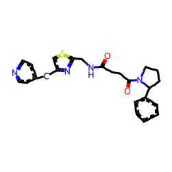 O=C(CCC(=O)N1CCCC1c1ccccc1)NCc1nc(Cc2ccncc2)cs1